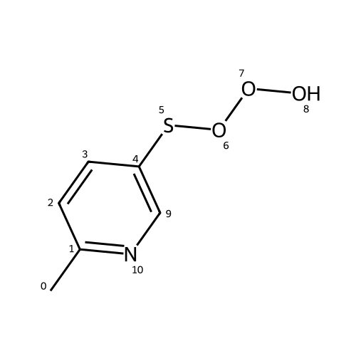 Cc1ccc(SOOO)cn1